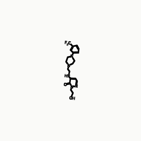 O=c1c(NCCN2CCN(c3cccc(C(F)(F)F)c3)CC2)ccnn1CCO